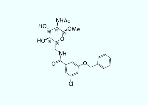 CO[C@H]1O[C@H](CNC(=O)c2cc(Cl)cc(OCc3ccccc3)c2)[C@@H](O)[C@H](O)[C@H]1NC(C)=O